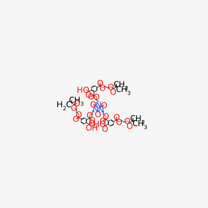 C=C(C)C(=O)OCCOC(=O)c1ccc(C(=O)O)c(C(=O)OCCn2c(=O)n(CCOC(=O)c3cc(C(=O)OCCOC(=O)C(=C)C)ccc3C(=O)O)c(=O)n(CCOC(=O)c3cc(C(=O)OCCOC(=O)C(=C)C)ccc3C(=O)O)c2=O)c1